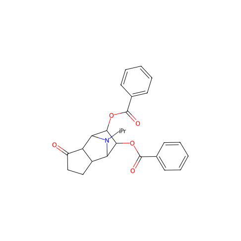 CC(C)N1C2C3CCC(=O)C3C1C(OC(=O)c1ccccc1)C2OC(=O)c1ccccc1